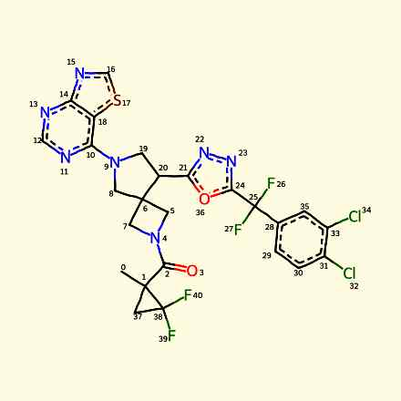 CC1(C(=O)N2CC3(C2)CN(c2ncnc4ncsc24)CC3c2nnc(C(F)(F)c3ccc(Cl)c(Cl)c3)o2)CC1(F)F